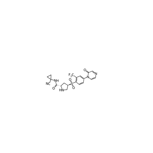 N#CC1(NC(=O)[C@@H]2C[C@@H](S(=O)(=O)c3ccc(-n4ccncc4=O)cc3C(F)(F)F)CN2)CC1